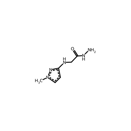 Cn1ccc(NCC(=O)NN)n1